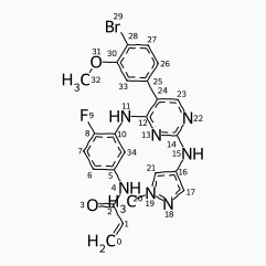 C=CC(=O)Nc1ccc(F)c(Nc2nc(Nc3cnn(C)c3)ncc2-c2ccc(Br)c(OC)c2)c1